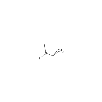 C=CN(F)I